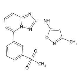 Cc1cc(Nc2nc3cccc(-c4cccc(S(C)(=O)=O)c4)n3n2)on1